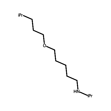 CC(C)CCCOCCCCCNC(C)C